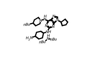 CCCCC1CCN(Nc2nc(NC3CCC(N)CC3)nc3c2ncn3C2CCCC2)CC1.CCCCNCCCC